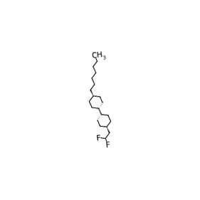 CCCCCCC[C@H]1CC[C@H]([C@H]2CC[C@H](CC(F)F)CC2)CC1